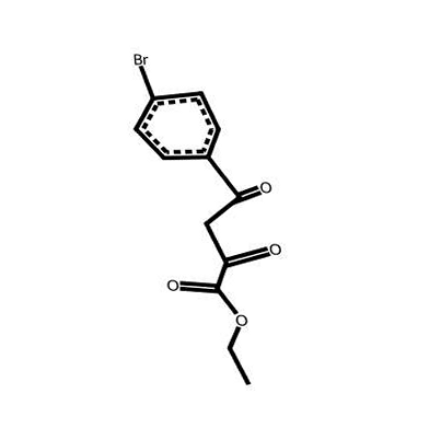 CCOC(=O)C(=O)CC(=O)c1ccc(Br)cc1